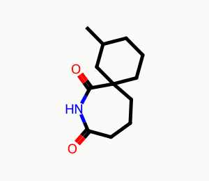 CC1CCCC2(CCCC(=O)NC2=O)C1